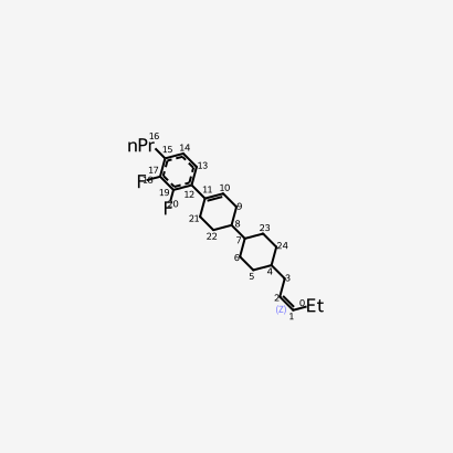 CC/C=C\CC1CCC(C2CC=C(c3ccc(CCC)c(F)c3F)CC2)CC1